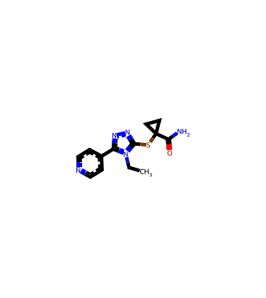 CCn1c(SC2(C(N)=O)CC2)nnc1-c1ccncc1